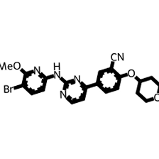 COc1nc(Nc2nccc(-c3ccc(OC4CCOCC4)c(C#N)c3)n2)ccc1Br